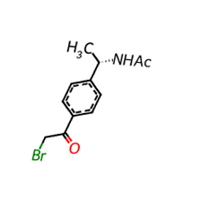 CC(=O)N[C@@H](C)c1ccc(C(=O)CBr)cc1